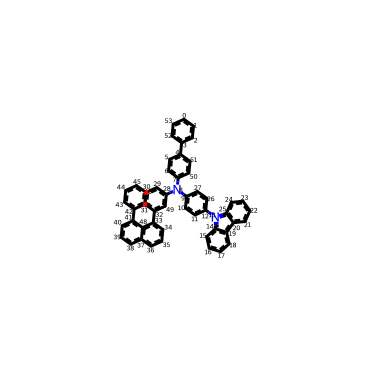 c1ccc(-c2ccc(N(c3ccc(-n4c5ccccc5c5ccccc54)cc3)c3cccc(-c4cccc5cccc(-c6ccccc6)c45)c3)cc2)cc1